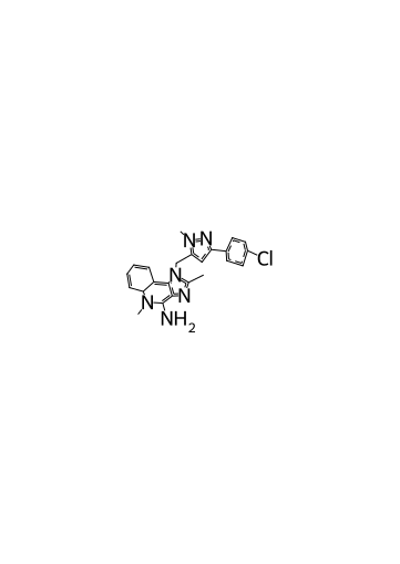 Cc1nc2c(n1Cc1cc(-c3ccc(Cl)cc3)nn1C)=C1C=CC=CC1N(C)C=2N